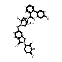 O=C1CCC(N2Cc3cc(CN4C[C@@H]5C[C@H]4CN5C(=O)c4ccccc4-c4ccc(Cl)cc4)ccc3C2=O)C(=O)N1